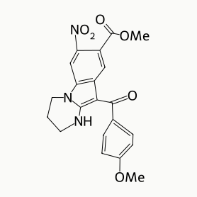 COC(=O)c1cc2c(C(=O)c3ccc(OC)cc3)c3n(c2cc1[N+](=O)[O-])CCCN3